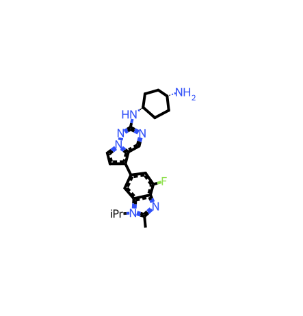 Cc1nc2c(F)cc(-c3ccn4nc(N[C@H]5CC[C@@H](N)CC5)ncc34)cc2n1C(C)C